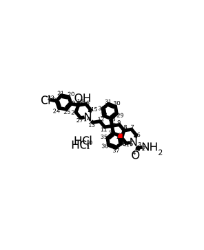 Cl.Cl.NC(=O)N1CCC(CC(CCCN2CCC(O)(c3ccc(Cl)cc3)CC2)(c2ccccc2)c2ccccc2)CC1